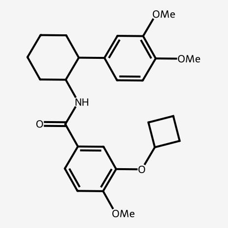 COc1ccc(C2CCCCC2NC(=O)c2ccc(OC)c(OC3CCC3)c2)cc1OC